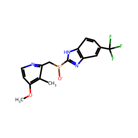 COc1ccnc(C[S+]([O-])c2nc3cc(C(F)(F)F)ccc3[nH]2)c1C